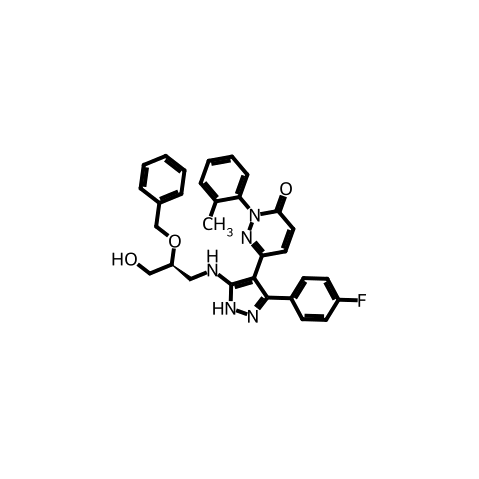 Cc1ccccc1-n1nc(-c2c(-c3ccc(F)cc3)n[nH]c2NC[C@@H](CO)OCc2ccccc2)ccc1=O